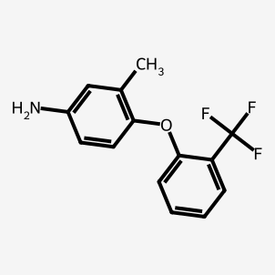 Cc1cc(N)ccc1Oc1ccccc1C(F)(F)F